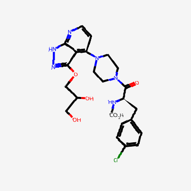 O=C(O)N[C@H](Cc1ccc(Cl)cc1)C(=O)N1CCN(c2ccnc3[nH]nc(OCC(O)CO)c23)CC1